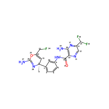 C[C@@]1(c2cccc(NC(=O)c3ncc(C(F)F)nc3N)c2)C=C(CF)OC(N)=N1